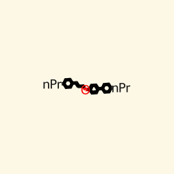 CCCC1CCC(C=CCOc2ccc(C3CCC(CCC)CC3)cc2)CC1